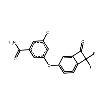 NC(=O)c1cc(Cl)cc(OC2=C=C=C3C(=C2)C(=O)C3(F)F)c1